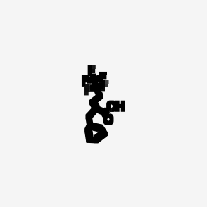 O=C(O)C(=CCC(F)(F)C(F)(F)F)Cc1ccccc1